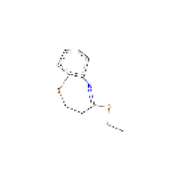 CCSC1=Nc2ccccc2SCC1